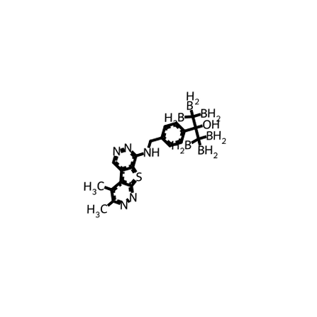 BC(B)(B)C(O)(c1ccc(CNc2nncc3c2sc2nnc(C)c(C)c23)cc1)C(B)(B)B